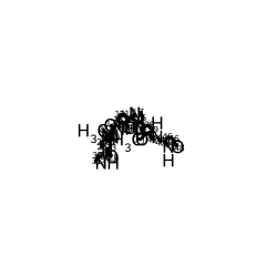 COc1nc(-c2ccnc(-c3cccc(NC(=O)c4nc5c(n4C)CCN(C(=O)[C@H]4CCN4)C5)c3Cl)c2Cl)ccc1CNC[C@@H]1CCC(=O)N1